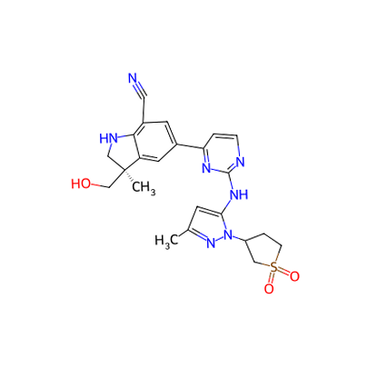 Cc1cc(Nc2nccc(-c3cc(C#N)c4c(c3)[C@@](C)(CO)CN4)n2)n(C2CCS(=O)(=O)C2)n1